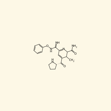 [CH2]C1C(C(=O)[C@@H]2CCCN2)=CC(C(=N)NOc2ccccc2)=NC1C(N)=O